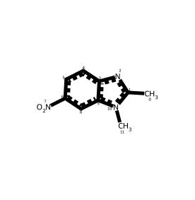 Cc1nc2ccc([N+](=O)[O-])cc2n1C